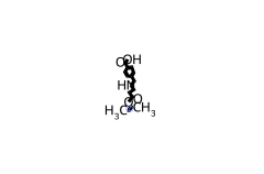 C/C=C(/C)OC(=O)CCNCc1ccc(C(=O)O)cc1